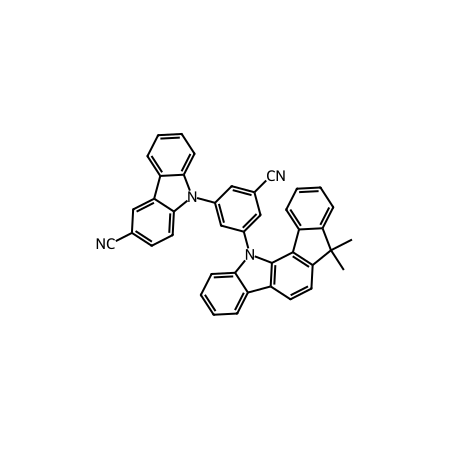 CC1(C)c2ccccc2-c2c1ccc1c3ccccc3n(-c3cc(C#N)cc(-n4c5ccccc5c5cc(C#N)ccc54)c3)c21